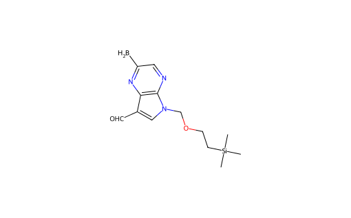 Bc1cnc2c(n1)c(C=O)cn2COCC[Si](C)(C)C